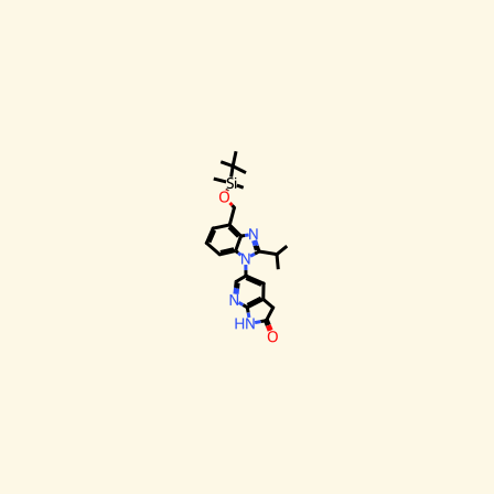 CC(C)c1nc2c(CO[Si](C)(C)C(C)(C)C)cccc2n1-c1cnc2c(c1)CC(=O)N2